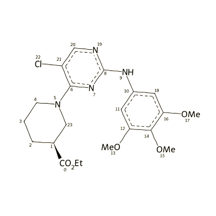 CCOC(=O)[C@H]1CCCN(c2nc(Nc3cc(OC)c(OC)c(OC)c3)ncc2Cl)C1